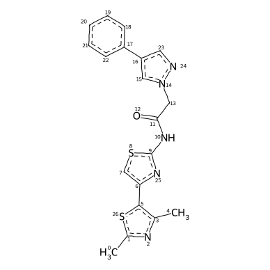 Cc1nc(C)c(-c2csc(NC(=O)Cn3cc(-c4ccccc4)cn3)n2)s1